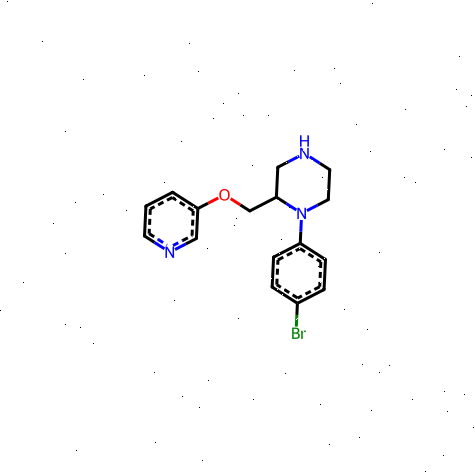 Brc1ccc(N2CCNCC2COc2cccnc2)cc1